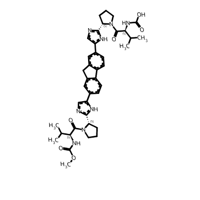 COC(=O)N[C@H](C(=O)N1CCC[C@H]1c1ncc(-c2ccc3c(c2)Cc2cc(-c4cnc([C@@H]5CCCN5C(=O)[C@@H](NC(=O)O)C(C)C)[nH]4)ccc2-3)[nH]1)C(C)C